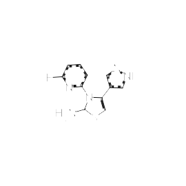 NC1SC=C(c2cn[nH]c2)N1c1cccc(F)n1